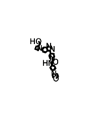 O=C(Nc1ccc(N2CCOCC2)cc1)N1CCC(c2ncnc3cc(N4CCCC4CO)ccc23)CC1